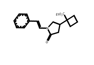 CCOC(=O)C1(C2CC(=O)N(C=Cc3ccccc3)C2)CCC1